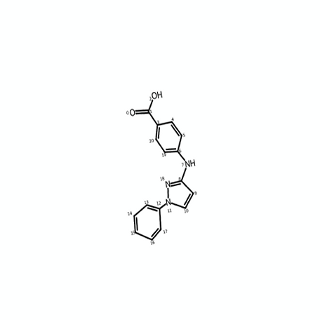 O=C(O)c1ccc(Nc2ccn(-c3ccccc3)n2)cc1